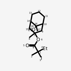 CCC(C)(I)C(=O)OC1(C)CC2CCCC(C1)C2(C)O